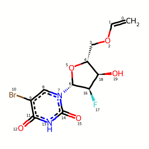 C=COC[C@H]1O[C@@H](n2cc(Br)c(=O)[nH]c2=O)[C@H](F)[C@@H]1O